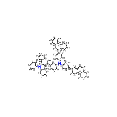 c1ccc(-n2c3ccccc3c3c(-c4cccc(N(c5ccc(-c6ccc7c(ccc8ccccc87)c6)cc5)c5ccc(-c6cc7ccccc7c7ccccc67)cc5)c4)cc4ccccc4c32)cc1